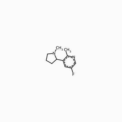 Cc1ncc(F)cc1C1CCCN1C